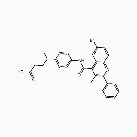 Cc1c(-c2ccccc2)nc2ccc(Br)cc2c1C(=O)Nc1ccc(C(C)CCC(=O)O)nc1